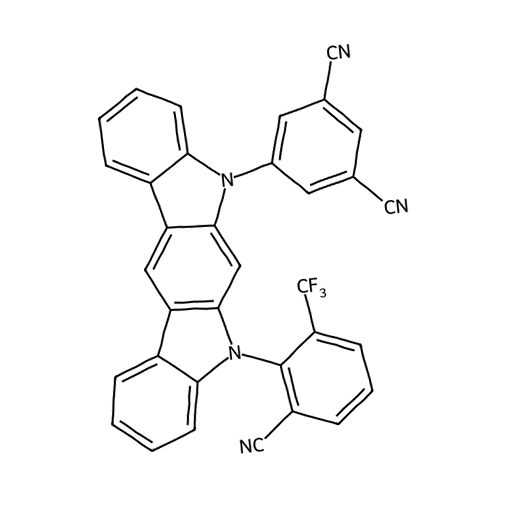 N#Cc1cc(C#N)cc(-n2c3ccccc3c3cc4c5ccccc5n(-c5c(C#N)cccc5C(F)(F)F)c4cc32)c1